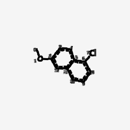 COc1ccc2c(Cl)[c]ccc2c1